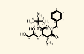 C[C@H](C(=O)OCc1ccccc1)[C@H](CC(O)CO)C(=O)OC(C)(C)C